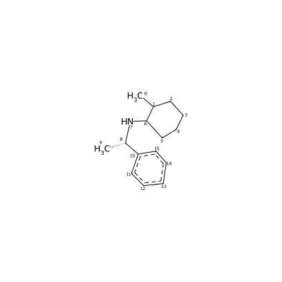 CC1CCCCC1N[C@@H](C)c1ccccc1